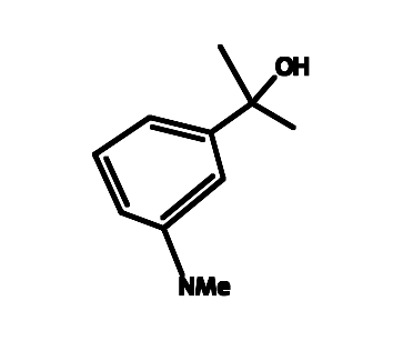 CNc1cccc(C(C)(C)O)c1